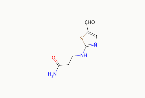 NC(=O)CCNc1ncc(C=O)s1